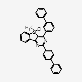 C[Si]1(C)c2ccccc2-c2nc(-c3ccc(-c4ccccc4)cc3)nc(-c3cccc(-c4ccccc4)c3)c21